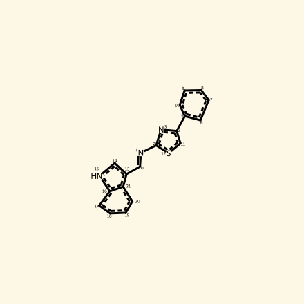 C(=Nc1nc(-c2ccccc2)cs1)c1c[nH]c2ccccc12